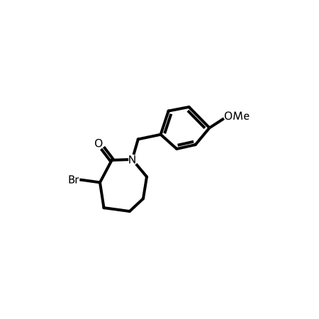 COc1ccc(CN2CCCCC(Br)C2=O)cc1